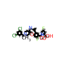 C[C@H](c1cc(Cl)cc(Cl)c1)N1CCC(C#N)(COc2cc(F)c(C(=O)N3C[C@H](F)C[C@H]3C(=O)O)cc2C2CC2)CC1